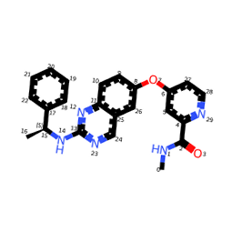 CNC(=O)c1cc(Oc2ccc3nc(N[C@@H](C)c4ccccc4)ncc3c2)ccn1